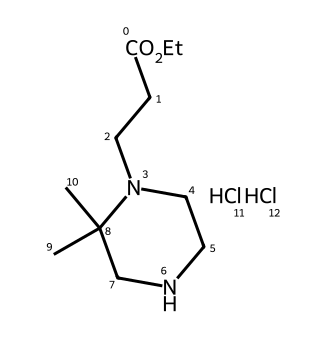 CCOC(=O)CCN1CCNCC1(C)C.Cl.Cl